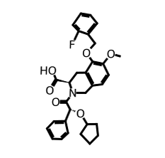 COc1ccc2c(c1OCc1ccccc1F)C[C@H](C(=O)O)N(C(=O)[C@H](OC1CCCC1)c1ccccc1)C2